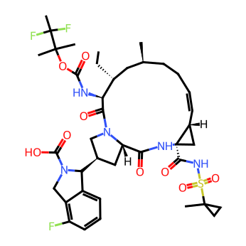 CC[C@@H]1C[C@@H](C)CC/C=C\[C@@H]2C[C@@]2(C(=O)NS(=O)(=O)C2(C)CC2)NC(=O)[C@@H]2C[C@@H](C3c4cccc(F)c4CN3C(=O)O)CN2C(=O)[C@H]1NC(=O)OC(C)(C)C(C)(F)F